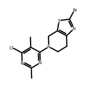 Cc1nc(Cl)c(C)c(N2CCc3nc(Br)sc3C2)n1